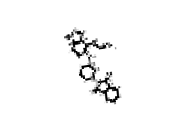 CCSc1c(O[C@H]2CCC[C@H](N3C(=O)c4ccccc4C3=O)C2)ccc2[nH]ncc12